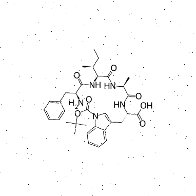 CC[C@H](C)[C@H](NC(=O)[C@@H](N)Cc1ccccc1)C(=O)N[C@@H](C)C(=O)N[C@@H](Cc1cn(C(=O)OC(C)(C)C)c2ccccc12)C(=O)O